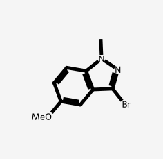 COc1ccc2c(c1)c(Br)nn2C